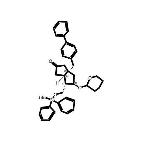 CC(C)(C)[Si](OC[C@@H]1[C@H]2CC(=O)C[C@@]2(Cc2ccc(-c3ccccc3)cc2)C[C@H]1OC1CCCCO1)(c1ccccc1)c1ccccc1